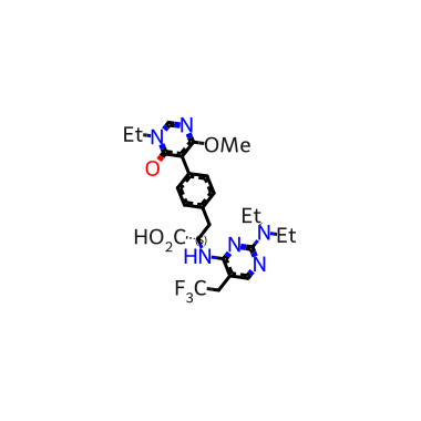 CCN(CC)c1ncc(CC(F)(F)F)c(N[C@@H](Cc2ccc(-c3c(OC)ncn(CC)c3=O)cc2)C(=O)O)n1